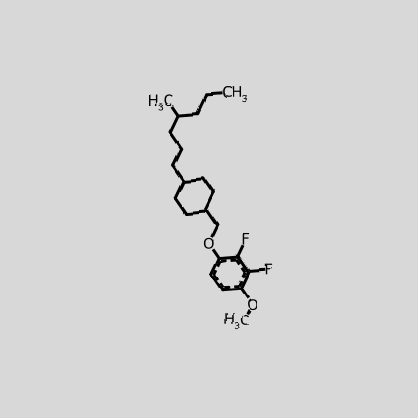 CCCC(C)CCCC1CCC(COc2ccc(OC)c(F)c2F)CC1